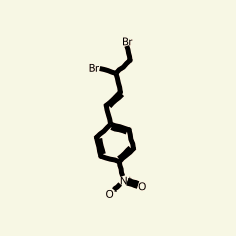 O=[N+]([O-])c1ccc(C=CC(Br)CBr)cc1